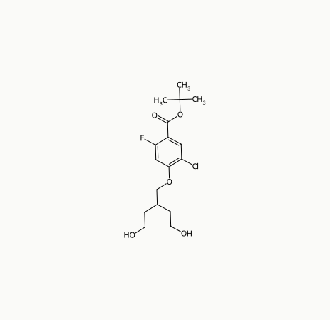 CC(C)(C)OC(=O)c1cc(Cl)c(OCC(CCO)CCO)cc1F